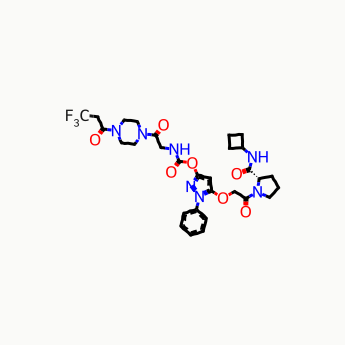 O=C(NCC(=O)N1CCN(C(=O)CC(F)(F)F)CC1)Oc1cc(OCC(=O)N2CCC[C@H]2C(=O)NC2CCC2)n(-c2ccccc2)n1